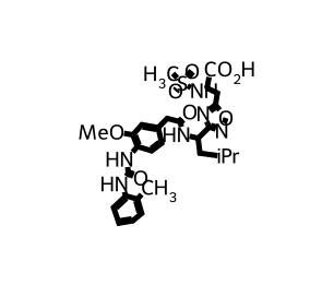 COc1cc(CC(=O)NC(CC(C)C)c2noc(CC(NS(C)(=O)=O)C(=O)O)n2)ccc1NC(=O)Nc1ccccc1C